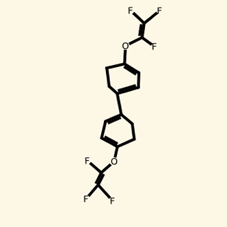 FC(F)=C(F)OC1=CC=C(C2=CC=C(OC(F)=C(F)F)CC2)CC1